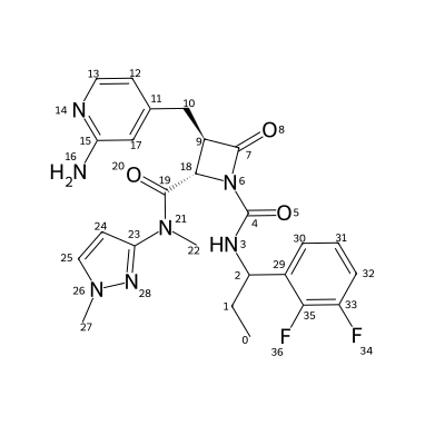 CCC(NC(=O)N1C(=O)[C@H](Cc2ccnc(N)c2)[C@H]1C(=O)N(C)c1ccn(C)n1)c1cccc(F)c1F